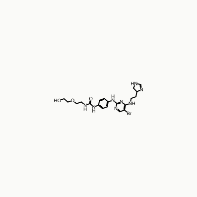 O=C(NCCOCCO)Nc1ccc(Nc2ncc(Br)c(NCCC3CNC=N3)n2)cc1